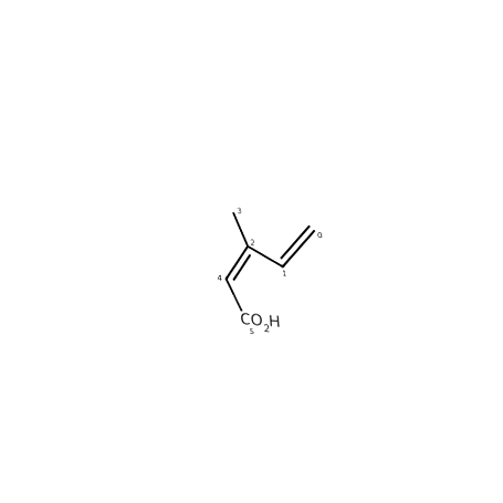 C=CC(C)=CC(=O)O